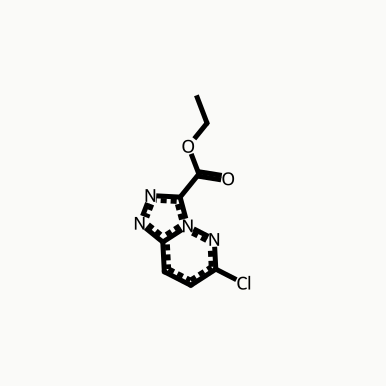 CCOC(=O)c1nnc2ccc(Cl)nn12